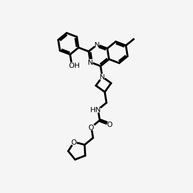 Cc1ccc2c(N3CC(CNC(=O)OCC4CCCO4)C3)nc(-c3ccccc3O)nc2c1